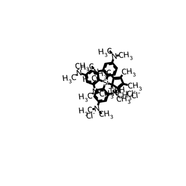 CC1=C(C)[C]([Ti+3])([Si](c2ccc(N(C)C)cc2N(C)C)(c2ccc(N(C)C)cc2N(C)C)c2ccc(N(C)C)cc2N(C)C)C(C)=C1C.[Cl-].[Cl-].[Cl-]